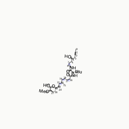 CC#CC[C@H](O)C/C=C\NC(=O)[C@@H](NC(=O)\C=C/C=C\C(C)=C\[C@H](C)[C@@H]1CC=C(OC)C(O)O1)C(C)(C)C